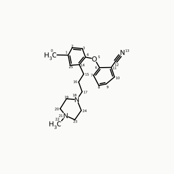 Cc1ccc(Oc2ccccc2C#N)c(CCCN2CCN(C)CC2)c1